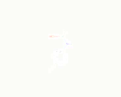 Cc1ccc(N(C)C(C)O)cc1